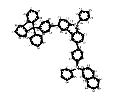 c1ccc(N(c2ccc(-c3ccc4c(c3)c3cc(-c5ccc(C6(c7ccccc7)c7ccccc7-c7ccccc76)cc5)ccc3n4-c3ccccc3)cc2)c2ccc3ccccc3c2)cc1